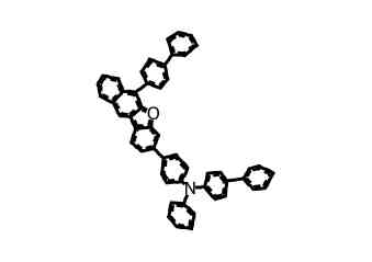 c1ccc(-c2ccc(-c3c4ccccc4cc4c3oc3cc(-c5ccc(N(c6ccccc6)c6ccc(-c7ccccc7)cc6)cc5)ccc34)cc2)cc1